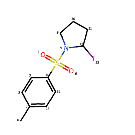 Cc1ccc(S(=O)(=O)N2CCCC2I)cc1